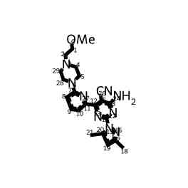 COCCN1CCN(c2cccc(-c3nc(-n4nc(C)cc4C)nc(N)c3C#N)n2)CC1